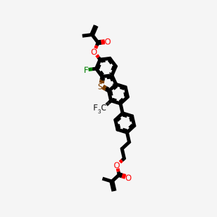 C=C(C)C(=O)OCCCc1ccc(-c2ccc3c(sc4c(F)c(OC(=O)C(=C)C)ccc43)c2C(F)(F)F)cc1